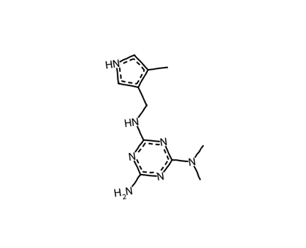 Cc1c[nH]cc1CNc1nc(N)nc(N(C)C)n1